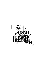 BC1(B)CN(C(=O)CCOC)C(B)(C(B)(C(B)(B)B)C(B)(B)B)CN1c1nc(C2CC2)c2c(c1C#N)CC(C)(C)OC2